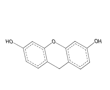 Oc1ccc2c(c1)Oc1cc(O)ccc1C2